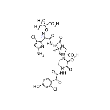 CC(C)(O/N=C(\C(=O)N[C@@H]1C(=O)N2C[C@@](C(=O)O)(N3CCN(NC(=O)C(=O)c4ccc(O)cc4Cl)C(=O)C3=O)S[C@H]12)c1nc(N)sc1Cl)C(=O)O